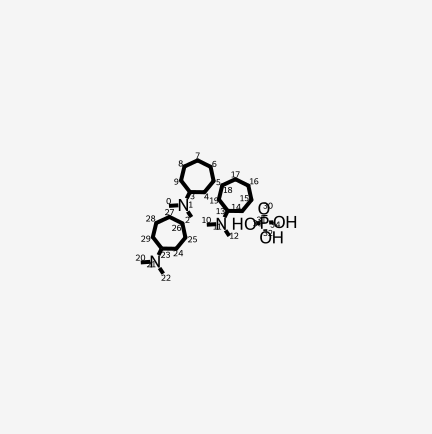 CN(C)C1CCCCCC1.CN(C)C1CCCCCC1.CN(C)C1CCCCCC1.O=P(O)(O)O